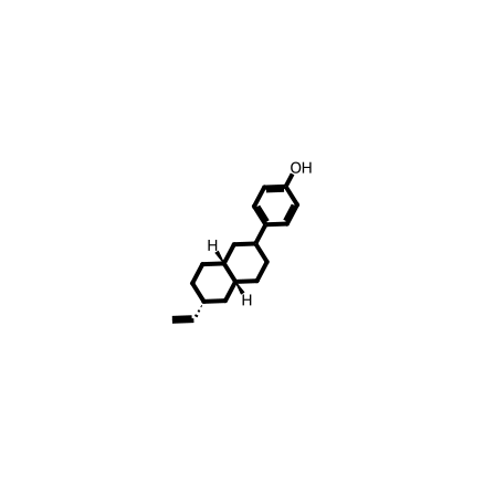 C=C[C@@H]1CC[C@@H]2CC(c3ccc(O)cc3)CC[C@@H]2C1